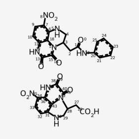 O=C(CC1CNc2c([N+](=O)[O-])ccc3[nH]c(=O)c(=O)n1c23)Nc1ccccc1.O=C(O)CC1CNc2ccc([N+](=O)[O-])c3[nH]c(=O)c(=O)n1c23